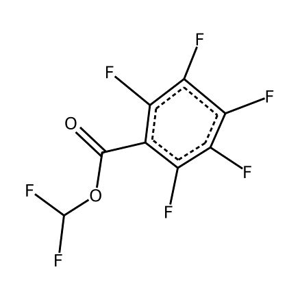 O=C(OC(F)F)c1c(F)c(F)c(F)c(F)c1F